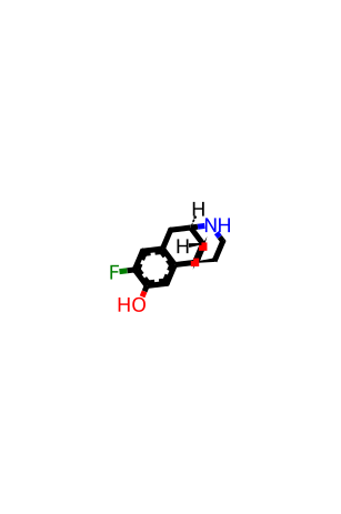 Oc1cc2c(cc1F)C[C@H]1NCC[C@@]23CCCC[C@@H]13